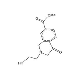 COC(=O)c1ccc2c(c1)CN(CCO)CC2=O